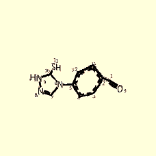 O=Cc1ccc(N2C=NNC2S)cc1